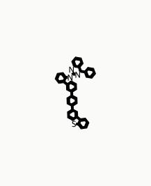 c1ccc(-c2nc(-n3c4ccccc4c4cc(-c5ccc(-c6ccc7sc8ccccc8c7c6)cc5)ccc43)nc3ccccc23)cc1